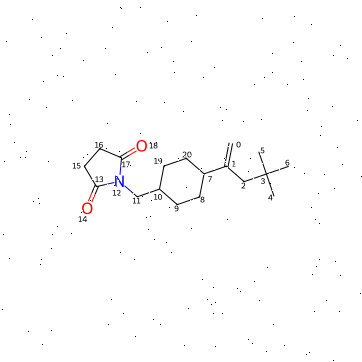 C=C(CC(C)(C)C)C1CCC(CN2C(=O)CCC2=O)CC1